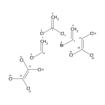 C=C(Cl)Cl.C=CBr.C=CCl.ClC(Cl)=C(Cl)Cl.ClC=C(Cl)Cl